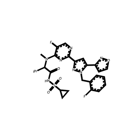 CC(C)C(C(=O)NS(=O)(=O)C1CC1)N(C)c1nc(-c2cc(-c3ccon3)n(Cc3ccccc3F)n2)ncc1F